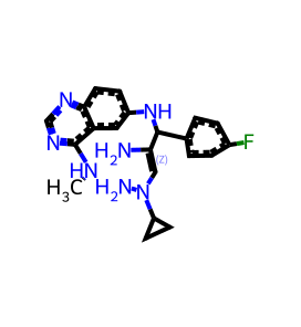 CNc1ncnc2ccc(NC(/C(N)=C/N(N)C3CC3)c3ccc(F)cc3)cc12